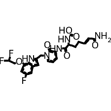 NC(=O)/C=C/CCC(NC(=O)O)C(=O)Nc1cccn(Cc2cc3cc(F)cc(OCC(F)F)c3[nH]2)c1=O